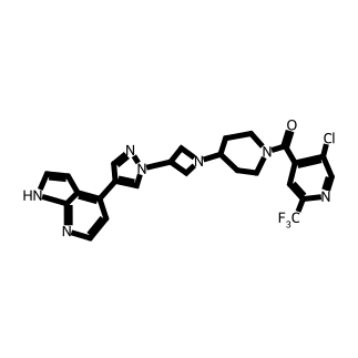 O=C(c1cc(C(F)(F)F)ncc1Cl)N1CCC(N2C[C](n3cc(-c4ccnc5[nH]ccc45)cn3)C2)CC1